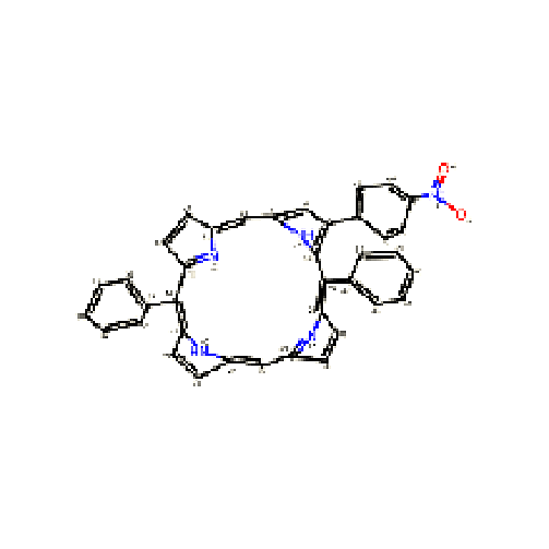 O=[N+]([O-])c1ccc(-c2cc3cc4nc(c(-c5ccccc5)c5ccc(cc6nc(c(-c7ccccc7)c2[nH]3)C=C6)[nH]5)C=C4)cc1